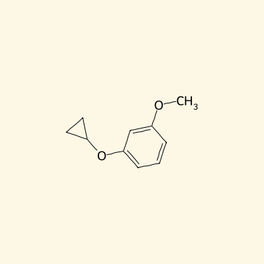 COc1cccc(OC2CC2)c1